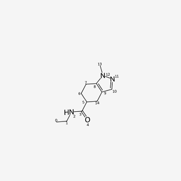 CCNC(=O)C1CCc2c(cnn2C)C1